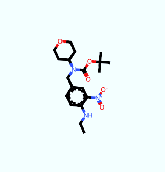 CCNc1ccc(CN(C(=O)OC(C)(C)C)C2CCOCC2)cc1[N+](=O)[O-]